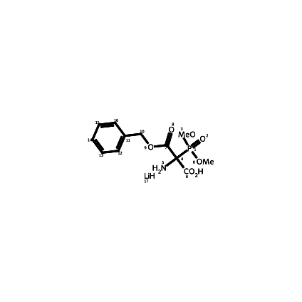 COP(=O)(OC)C(N)(C(=O)O)C(=O)OCc1ccccc1.[LiH]